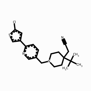 CC(C)(C)C1(CC#N)CCN(Cc2ccc(-c3csc(Cl)c3)nc2)CC1